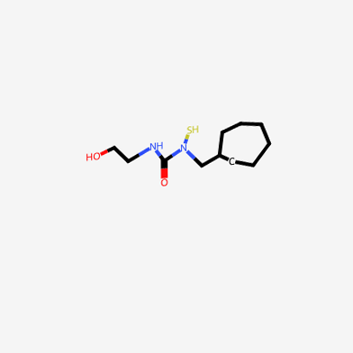 O=C(NCCO)N(S)CC1CCCCCC1